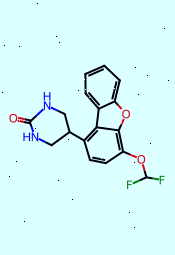 O=C1NCC(c2ccc(OC(F)F)c3oc4ccccc4c23)CN1